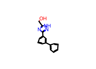 OCc1nc(-c2cccc(-c3ccccc3)c2)n[nH]1